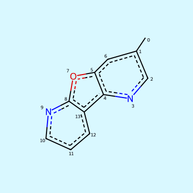 Cc1cnc2c(c1)oc1ncccc12